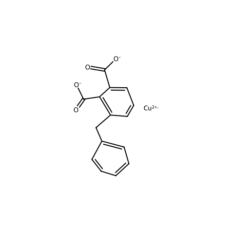 O=C([O-])c1cccc(Cc2ccccc2)c1C(=O)[O-].[Cu+2]